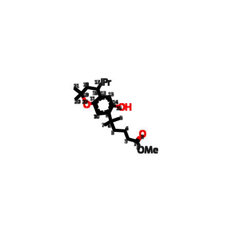 COC(=O)CCCC(C)(C)c1cc2c(cc1O)C(C(C)C)CC(C)(C)O2